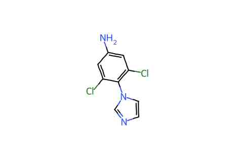 Nc1cc(Cl)c(-n2ccnc2)c(Cl)c1